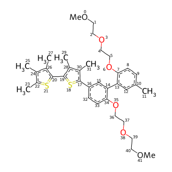 COCCOCCOc1ccc(C)cc1-c1cc(-c2sc(-c3sc(C)c(C)c3C)c(C)c2C)ccc1OCCOCCOC